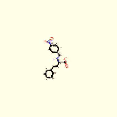 O=C(O)C(C=Cc1ccccc1)NCc1ccc([N+](=O)[O-])cc1